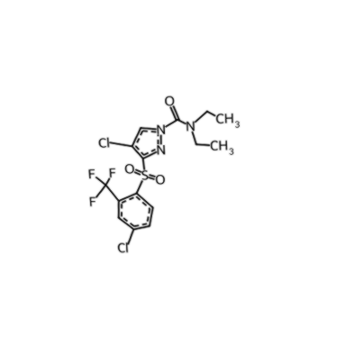 CCN(CC)C(=O)n1cc(Cl)c(S(=O)(=O)c2ccc(Cl)cc2C(F)(F)F)n1